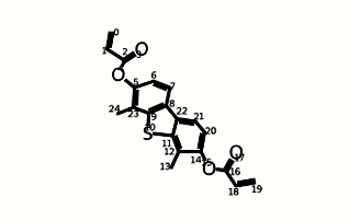 C=CC(=O)Oc1ccc2c(sc3c(C)c(OC(=O)C=C)ccc32)c1C